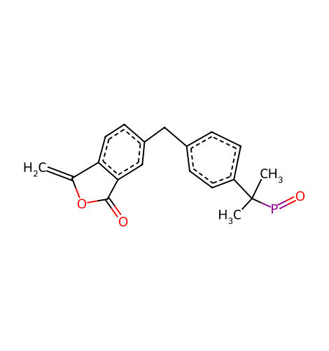 C=C1OC(=O)c2cc(Cc3ccc(C(C)(C)P=O)cc3)ccc21